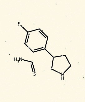 Fc1ccc(C2CCNC2)cc1.NC=S